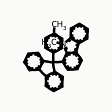 Cc1ccc(C2(c3cccc4c5ccccc5n(C)c34)c3ccccc3-c3ccccc32)cc1